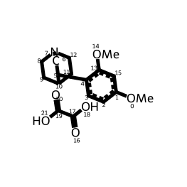 COc1ccc(C2CN3CCC2CC3)c(OC)c1.O=C(O)C(=O)O